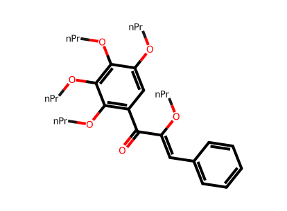 CCCOC(=Cc1ccccc1)C(=O)c1cc(OCCC)c(OCCC)c(OCCC)c1OCCC